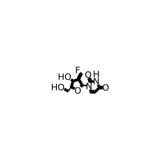 O=c1ccn([C@H]2O[C@@H](CO)C(O)C2=CF)c(=O)[nH]1